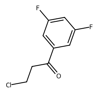 O=C(CCCl)c1cc(F)cc(F)c1